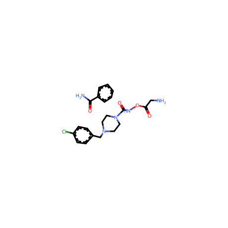 NC(=O)c1ccccc1.NCC(=O)ONC(=O)N1CCN(Cc2ccc(Cl)cc2)CC1